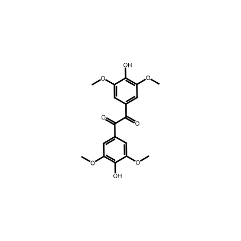 COc1cc(C(=O)C(=O)c2cc(OC)c(O)c(OC)c2)cc(OC)c1O